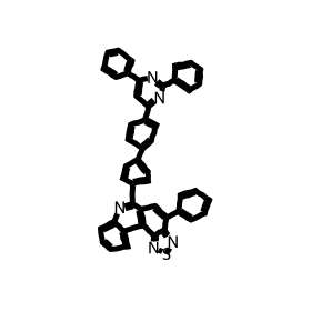 c1ccc(-c2cc(-c3ccc(-c4ccc(-c5nc6ccccc6c6c5cc(-c5ccccc5)c5nsnc56)cc4)cc3)nc(-c3ccccc3)n2)cc1